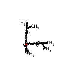 CCCCCC(CCCCC)CCOC(=O)CCCCCCCCCC1(CCCCCCCCCC(=O)OCCC(CCCCC)CCCCC)OC[C@H](CCN2CCN(C)CC2)O1